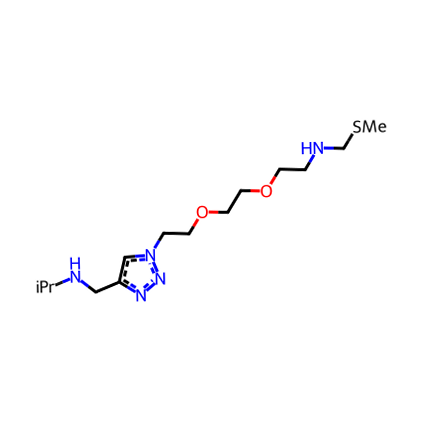 CSCNCCOCCOCCn1cc(CNC(C)C)nn1